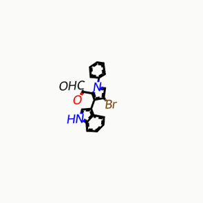 O=CC(=O)c1c(-c2c[nH]c3ccccc23)c(Br)cn1-c1ccccc1